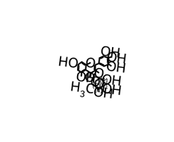 C[C@@H]1OC(Oc2c(-c3cc(O)c(O)c(O)c3)oc3cc(O)cc(O)c3c2=O)[C@H](O)[C@H](O)[C@H]1O